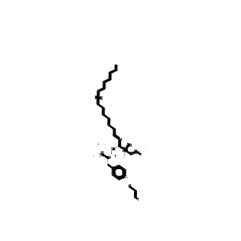 CCCCCCCC(F)(F)CCCCCC/C=C/[C@H](C(=O)N[C@@H](Cc1ccc(OCCCF)cc1)C(=O)OC)[C@@](O)(CCC)C(=O)O